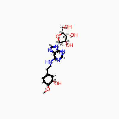 COc1ccc(CCNc2ncnc3c2ncn3[C@@H]2O[C@H](CO)[C@H](O)C2O)cc1O